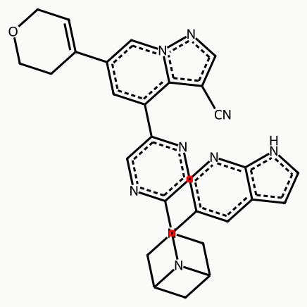 N#Cc1cnn2cc(C3=CCOCC3)cc(-c3cnc(N4CC5CC(C4)N5Cc4cnc5[nH]ccc5c4)cn3)c12